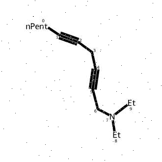 CCCCCC#CCC#CCN(CC)CC